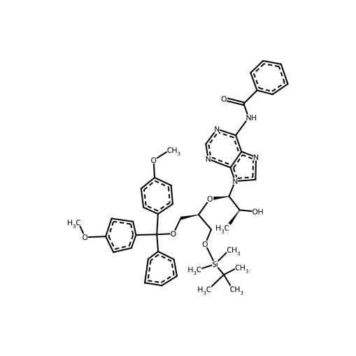 COc1ccc(C(OC[C@H](CO[Si](C)(C)C(C)(C)C)O[C@H]([C@H](C)O)n2cnc3c(NC(=O)c4ccccc4)ncnc32)(c2ccccc2)c2ccc(OC)cc2)cc1